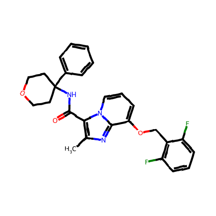 Cc1nc2c(OCc3c(F)cccc3F)cccn2c1C(=O)NC1(c2ccccc2)CCOCC1